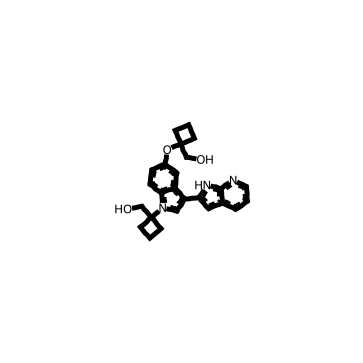 OCC1(Oc2ccc3c(c2)c(-c2cc4cccnc4[nH]2)cn3C2(CO)CCC2)CCC1